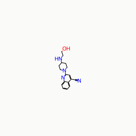 N#Cc1cc(N2CCC(NCCO)CC2)nc2ccccc12